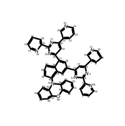 c1ccc(-c2nc(-c3cccnc3)cc(-c3cc(-c4cc(-c5cccnc5)nc(-c5ccccn5)n4)c4cccc(N5c6ccccc6Oc6ccccc65)c4c3)n2)nc1